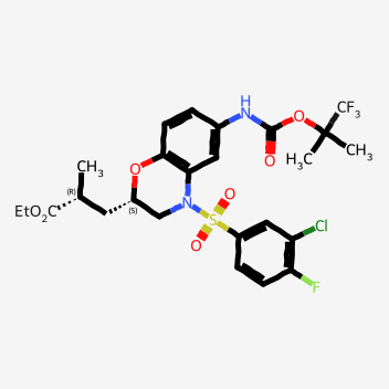 CCOC(=O)[C@H](C)C[C@H]1CN(S(=O)(=O)c2ccc(F)c(Cl)c2)c2cc(NC(=O)OC(C)(C)C(F)(F)F)ccc2O1